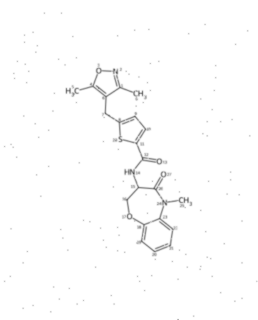 Cc1noc(C)c1Cc1ccc(C(=O)NC2COc3ccccc3N(C)C2=O)s1